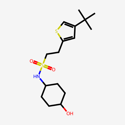 CC(C)(C)c1csc(CCS(=O)(=O)NC2CCC(O)CC2)c1